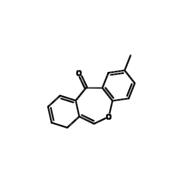 Cc1ccc2c(c1)C(=O)C1=CC=CCC1=CO2